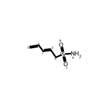 C=CC=CCS(N)(=O)=O